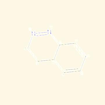 C1=CC2CCN=NC2C=C1